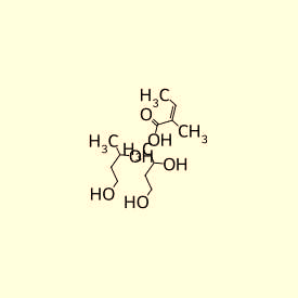 CC(O)CCO.CC(O)CCO.CC=C(C)C(=O)O